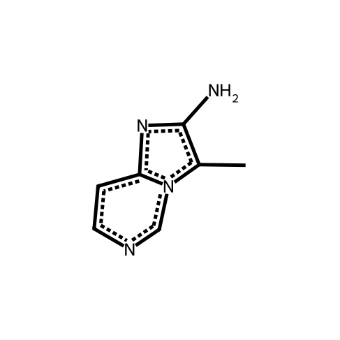 Cc1c(N)nc2ccncn12